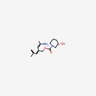 C=C(C)/C=C(\C=C(\C)N)COC(=O)N1CCC[C@H](O)C1